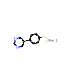 CCC[C@H](C)Sc1ccc(-c2cncnc2)cc1